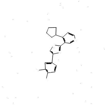 O=[N+]([O-])c1cc(-c2csc(-c3cnccc3C3CCCC3)n2)ccc1Cl